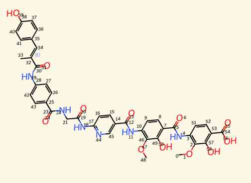 COc1c(NC(=O)c2ccc(NC(=O)c3ccc(NC(=O)CNC(=O)c4ccc(NC(=O)/C(C)=C/c5ccc(O)cc5)cc4)nc3)c(OC)c2O)ccc(C(=O)O)c1O